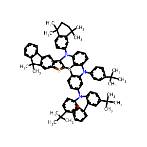 CC(C)(C)c1ccc(N(c2ccc3c(c2)N(c2ccc(C(C)(C)C)cc2)c2cccc4c2B3c2sc3cc5c(cc3c2N4c2ccc3c(c2)C(C)(C)CCC3(C)C)-c2ccccc2C5(C)C)c2ccc(C(C)(C)C)cc2-c2ccccc2)cc1